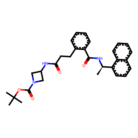 C[C@@H](NC(=O)c1ccccc1CCC(=O)NC1CN(C(=O)OC(C)(C)C)C1)c1cccc2ccccc12